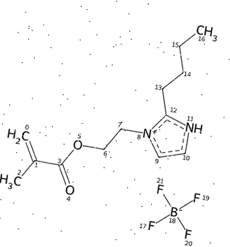 C=C(C)C(=O)OCC[n+]1cc[nH]c1CCCC.F[B-](F)(F)F